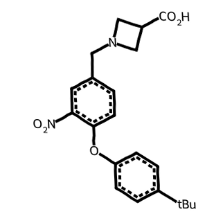 CC(C)(C)c1ccc(Oc2ccc(CN3CC(C(=O)O)C3)cc2[N+](=O)[O-])cc1